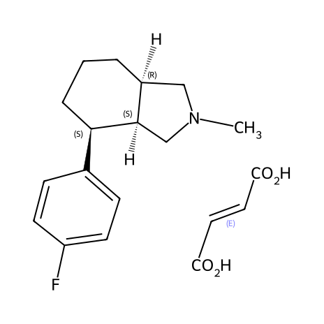 CN1C[C@@H]2CCC[C@H](c3ccc(F)cc3)[C@@H]2C1.O=C(O)/C=C/C(=O)O